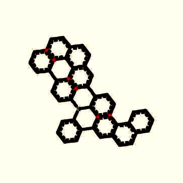 c1ccc(-c2ccc(N(c3ccccc3-c3ccc4c(ccc5ccccc54)c3)c3ccccc3-c3ccc4c(ccc5ccccc54)c3)cc2)cc1